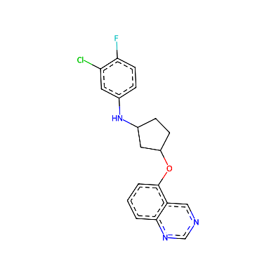 Fc1ccc(NC2CCC(Oc3cccc4ncncc34)C2)cc1Cl